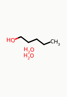 CCCCCO.O.O